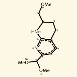 COCC1CCc2ccc(C(OC)OC)nc2N1